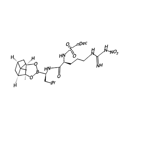 CCCCCCCCCCS(=O)(=O)N[C@@H](CCCNC(=N)N[N+](=O)[O-])C(=O)N[C@@H](CC(C)C)B1O[C@@H]2C[C@@H]3C[C@@H](C3(C)C)[C@]2(C)O1